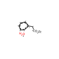 CCOC(=O)Cc1ccccc1.O